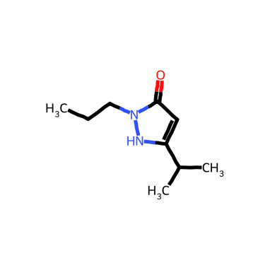 CCCn1[nH]c(C(C)C)cc1=O